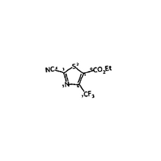 CCOC(=O)c1sc(C#N)nc1C(F)(F)F